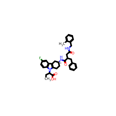 CCC(C(=O)O)n1c2c(c3cc(F)ccc31)C[C@@H](NC(=O)C(CC(=O)NCc1ccccc1C)Cc1ccccc1)CC2